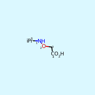 CC(C)NOCC(=O)O